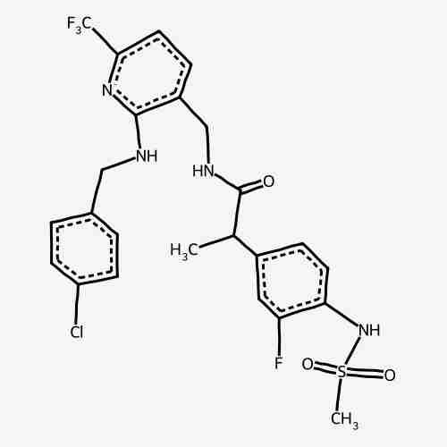 CC(C(=O)NCc1ccc(C(F)(F)F)nc1NCc1ccc(Cl)cc1)c1ccc(NS(C)(=O)=O)c(F)c1